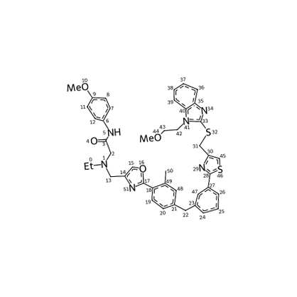 CCN(CC(=O)Nc1ccc(OC)cc1)Cc1coc(-c2ccc(Cc3cccc(-c4nc(CSc5nc6ccccc6n5CCOC)cs4)c3)cc2C)n1